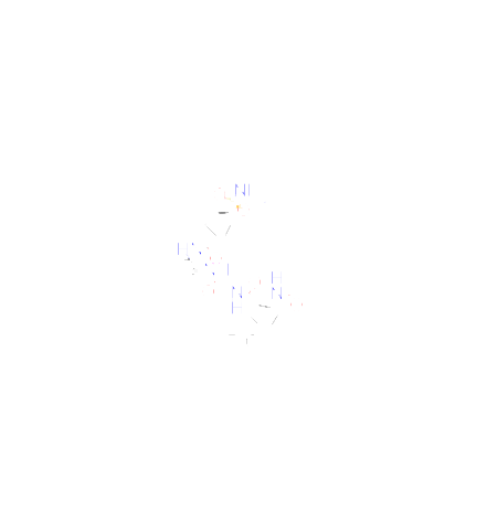 NS(=O)(=O)c1ccc(C(=O)N[C@H]2CCCC[C@H]2NC(=O)CNC(=O)c2cc(C(F)(F)F)ccc2NC(=O)C2CCCCC2)cc1